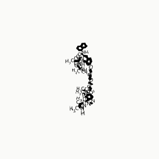 CN[C@@H](C)C(=O)N[C@H](C(=O)N1Cc2cc(OCCOCCOCCOCCOc3cc4ncnc(Nc5n[nH]c(C)c5C)c4cc3S(=O)(=O)C(C)(C)C)ccc2C[C@H]1C(=O)N[C@@H]1CCCc2ccccc21)C(C)(C)C